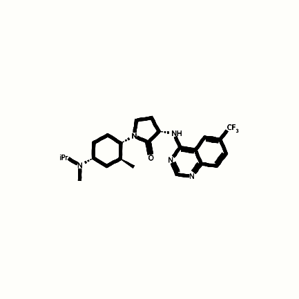 CC(C)N(C)[C@@H]1CC[C@H](N2CC[C@H](Nc3ncnc4ccc(C(F)(F)F)cc34)C2=O)[C@@H](C)C1